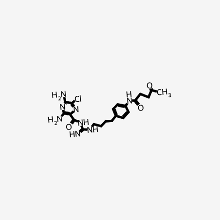 CC(=O)CCC(=O)Nc1ccc(CCCCNC(=N)NC(=O)c2nc(Cl)c(N)nc2N)cc1